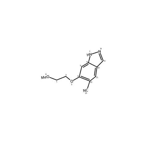 COCCOc1cc2[nH]ncc2cc1C#N